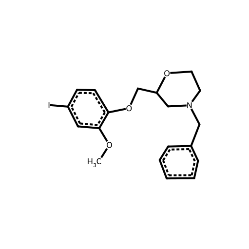 COc1cc(I)ccc1OCC1CN(Cc2ccccc2)CCO1